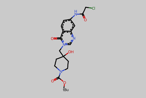 CC(C)(C)OC(=O)N1CCC(O)(Cn2cnc3cc(NC(=O)CCl)ccc3c2=O)CC1